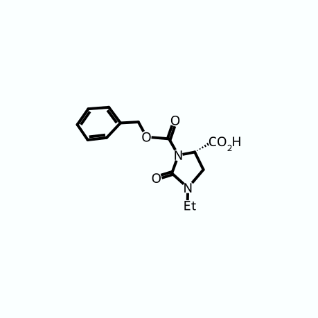 CCN1C[C@@H](C(=O)O)N(C(=O)OCc2ccccc2)C1=O